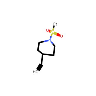 C#CC1CCN(S(=O)(=O)CC)CC1